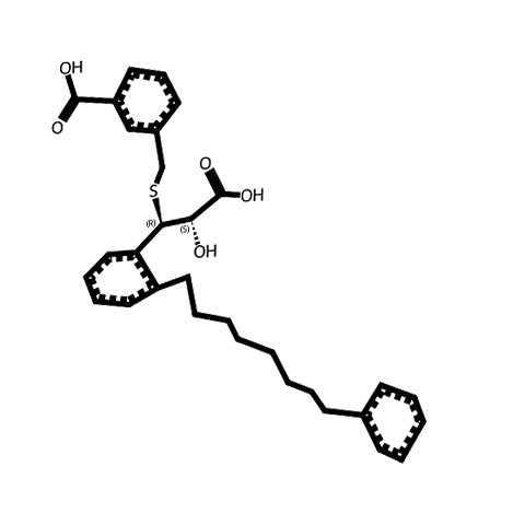 O=C(O)c1cccc(CS[C@H](c2ccccc2CCCCCCCCc2ccccc2)[C@@H](O)C(=O)O)c1